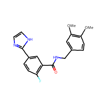 COc1ccc(CNC(=O)c2cc(-c3ncc[nH]3)ccc2F)cc1OC